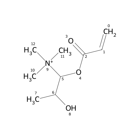 C=CC(=O)OC(C(C)O)[N+](C)(C)C